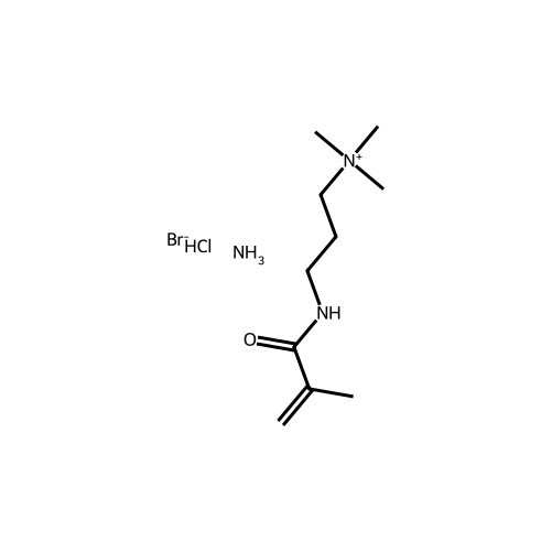 C=C(C)C(=O)NCCC[N+](C)(C)C.Cl.N.[Br-]